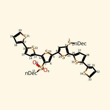 CCCCCCCCCCSc1cc(-c2cc(S(=O)(=O)CCCCCCCCCC)c(-c3ccc(-c4cccs4)s3)s2)sc1-c1ccc(-c2cccs2)s1